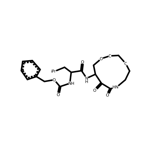 CC(C)CC(NC(=O)OCc1ccccc1)C(=O)NC1COCCCCCNC(=O)C1=O